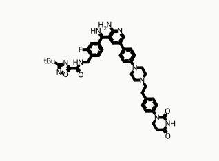 CC(C)(C)c1noc(C(=O)NCc2ccc(C(=N)c3cc(-c4ccc(N5CCN(CCc6ccc(N7CCC(=O)NC7=O)cc6)CC5)cc4)cnc3N)cc2F)n1